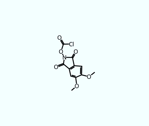 COc1cc2c(cc1OC)C(=O)N(OC(=O)Cl)C2=O